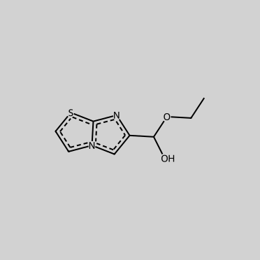 CCOC(O)c1cn2ccsc2n1